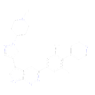 Cc1cc(-c2cc3c(-c4cnn(C5CCN(C)CC5)c4)c[nH]c3nn2)cc(C)c1C1=CCNCC1